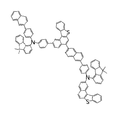 CC1(C)c2ccccc2-c2c(N(c3ccc(-c4ccc5ccccc5c4)cc3)c3ccc(-c4ccc5c(-c6ccc7cc(-c8ccc(N(c9ccc%10ccc%11sc%12ccccc%12c%11c%10c9)c9cccc%10c9-c9ccccc9C%10(C)C)cc8)ccc7c6)cc6sc7ccccc7c6c5c4)cc3)cccc21